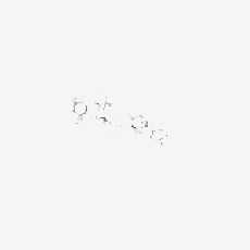 Cc1ncc(-c2ncc(F)c(OC3CN(C(=O)N4N=CC[C@H]4c4cc(F)cc(F)c4)C3)n2)s1